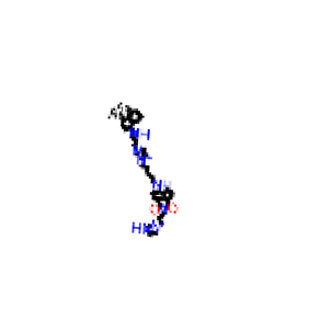 CC(=O)c1cccc2c(NCCCn3cc[n+](CCCCCNc4ccc5c6c(cccc46)C(=O)N(CCC[n+]4cc[nH]c4)C5=O)c3)ccc(C(C)=O)c12